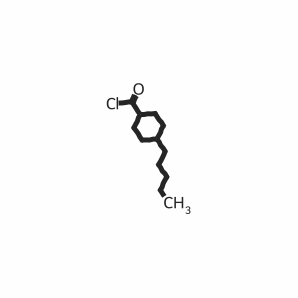 CCCCCC1CCC(C(=O)Cl)CC1